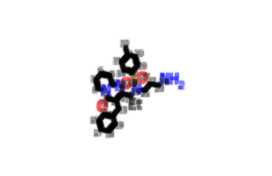 CCC(c1nc2ccccn2c(=O)c1Cc1ccccc1)N(CCCN)S(=O)(=O)c1ccc(C)cc1